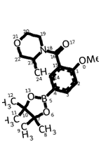 COc1ccc(B2OC(C)(C)C(C)(C)O2)cc1C(=O)N1CCOCC1C